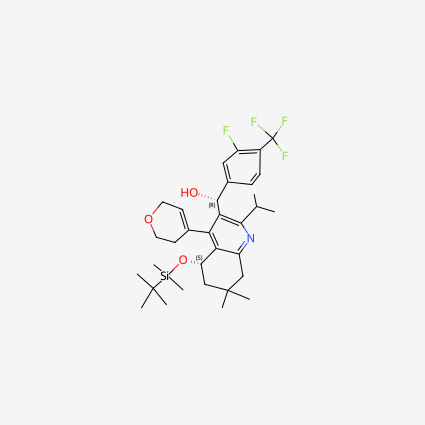 CC(C)c1nc2c(c(C3=CCOCC3)c1[C@H](O)c1ccc(C(F)(F)F)c(F)c1)[C@@H](O[Si](C)(C)C(C)(C)C)CC(C)(C)C2